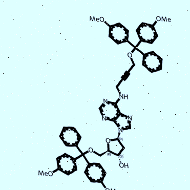 COc1ccc(C(OCC#CCNc2ncnc3c2ncn3[C@H]2C[C@H](O)[C@@H](COC(c3ccccc3)(c3ccc(OC)cc3)c3ccc(OC)cc3)O2)(c2ccccc2)c2ccc(OC)cc2)cc1